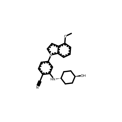 COc1cccc2c1ccn2-c1ccc(C#N)c(N[C@H]2CC[C@H](O)CC2)c1